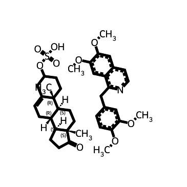 COc1ccc(Cc2nccc3cc(OC)c(OC)cc23)cc1OC.C[C@]12CCC(OS(=O)(=O)O)CC1=CC[C@@H]1[C@@H]2CC[C@]2(C)C(=O)CC[C@@H]12